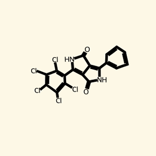 O=C1NC(c2c(Cl)c(Cl)c(Cl)c(Cl)c2Cl)=C2C(=O)NC(c3ccccc3)=C12